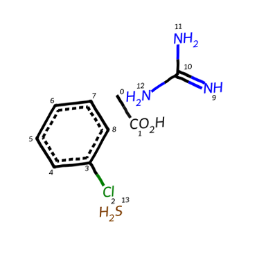 CC(=O)O.Clc1ccccc1.N=C(N)N.S